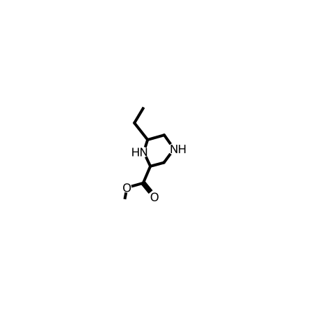 CCC1CNCC(C(=O)OC)N1